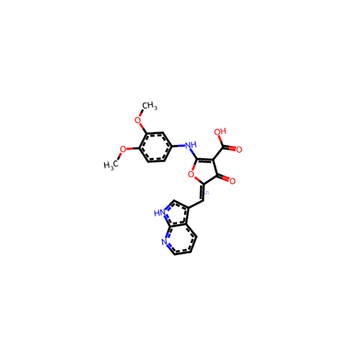 COc1ccc(NC2=C(C(=O)O)C(=O)/C(=C/c3c[nH]c4ncccc34)O2)cc1OC